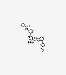 CC(=O)c1ccc(-c2cccc3[nH]c(-c4n[nH]c5cnc(-c6cncc(NC(=O)C7CCCC7)c6)cc45)cc23)s1